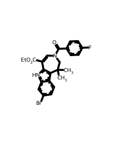 CCOC(=O)C1=CN(C(=O)c2ccc(F)cc2)CC(C)(C)c2c1[nH]c1cc(Br)ccc21